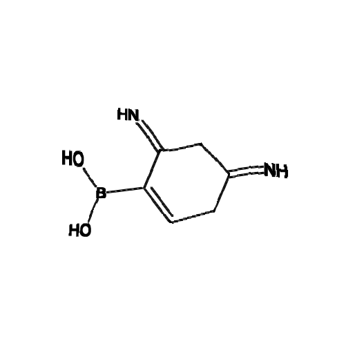 N=C1CC=C(B(O)O)C(=N)C1